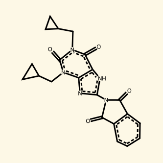 O=C1c2ccccc2C(=O)N1c1nc2c([nH]1)c(=O)n(CC1CC1)c(=O)n2CC1CC1